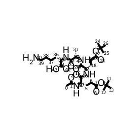 CC(=O)N[C@@H](CCC(=O)OC(C)(C)C)C(=O)N[C@@H](CCC(=O)OC(C)(C)C)C(=O)N[C@@H](C)C(=O)N[C@@H](CCCCN)C(=O)O